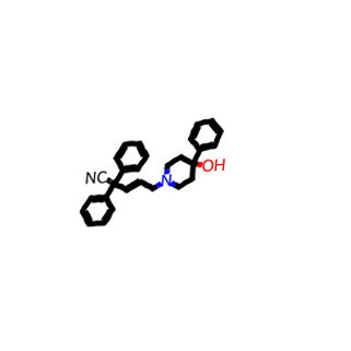 N#CC(/C=C/CN1CCC(O)(c2ccccc2)CC1)(c1ccccc1)c1ccccc1